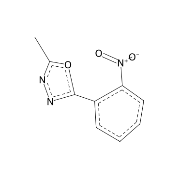 Cc1nnc(-c2ccccc2[N+](=O)[O-])o1